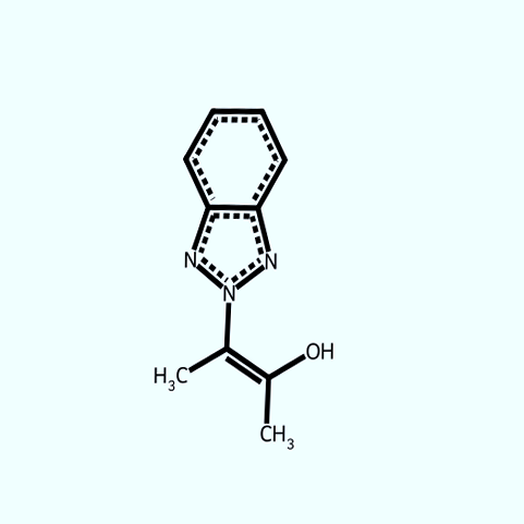 C/C(O)=C(\C)n1nc2ccccc2n1